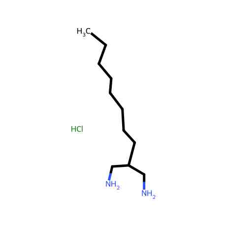 CCCCCCCCC(CN)CN.Cl